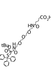 CC(C)(C)OC(=O)[C@H](CSC(c1ccccc1)(c1ccccc1)c1ccccc1)C(=O)NCCOCCOCCOCCNC(=O)CCCC(=O)O